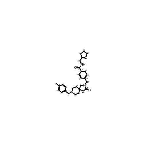 Cc1ccc(CN2CCC3(CC2)CN(CC2=CCC(C(=O)NCC4CCCO4)C=C2)C(=O)O3)cc1